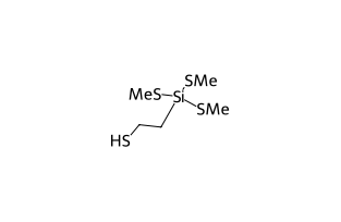 CS[Si](CCS)(SC)SC